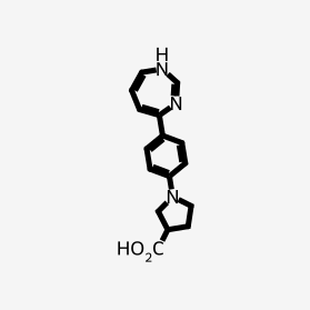 O=C(O)C1CCN(c2ccc(C3=CC=CNC=N3)cc2)C1